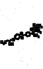 CC[C@H](O)COc1ccc2oc(-c3ccc(N(C)C(=O)OC(C)(C)C)cc3)nc2c1